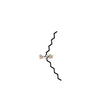 CCCCCCCC[Si](Br)(Br)CCCCCCCC